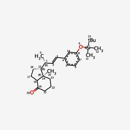 C[C@H](C=Cc1cccc(O[Si](C)(C)C(C)(C)C)c1)[C@H]1CCC2C(=O)CCC[C@@]21C